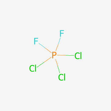 FP(F)(Cl)(Cl)Cl